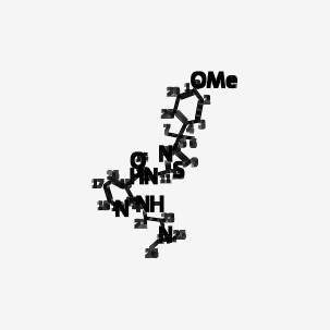 COc1ccc(C(C)(C)c2csc(NC(=O)c3cccnc3NCCN(C)C)n2)cc1